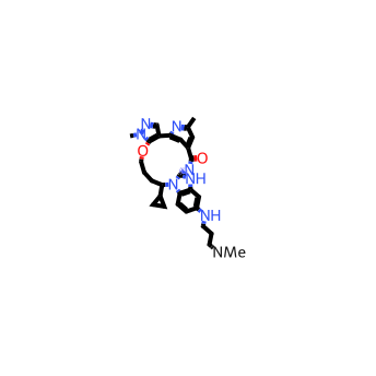 CNCCCNc1ccc2c(c1)N/C1=N\C(=O)c3cc(C)nc(c3)-c3cnn(C)c3OCCCC(C3CC3)N12